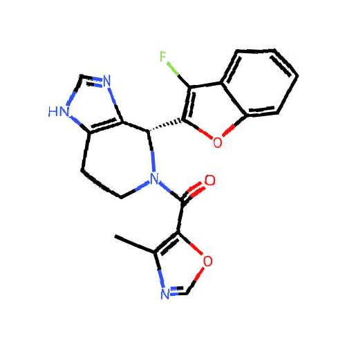 Cc1ncoc1C(=O)N1CCc2[nH]cnc2[C@@H]1c1oc2ccccc2c1F